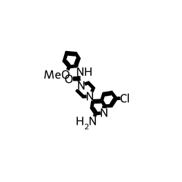 COc1ccccc1NC(=O)N1CCN(c2cc(N)nc3cc(Cl)ccc23)CC1